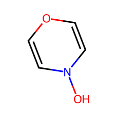 ON1C=COC=C1